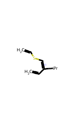 C=CS/C=C(\C=C)C(C)C